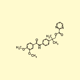 COc1ccc(C(=O)Nc2ccc(C(C)(C)COC(=O)c3ncccn3)cc2)cc1OC